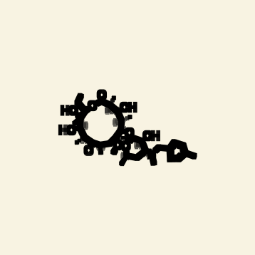 CCC1OC(=O)[C@H](C)[C@H](O)[C@H](C)[C@@H](OC2O[C@H](C)C[C@H](N(C)Cc3ccc(C)cc3)[C@H]2O)[C@@](C)(OC)C[C@@H](C)C(=O)[C@H](C)[C@@H](O)[C@]1(C)O